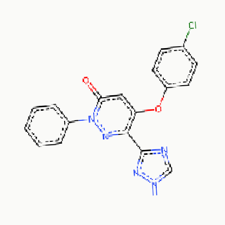 O=c1cc(Oc2ccc(Cl)cc2)c(-c2nc[nH]n2)nn1-c1ccccc1